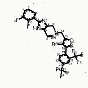 Fc1cccc(-c2nc3c([nH]2)C=NN(Cc2onc(-c4ccc(C(F)(F)F)cc4C(F)(F)F)c2Br)C3)c1F